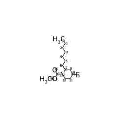 CCCCCCC[C@H]1C[C@@H](F)CCN1C(=O)OC